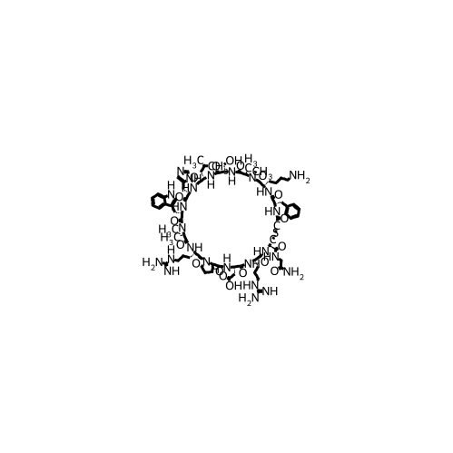 CC(C)C[C@@H]1NC(=O)[C@H](CO)NC(=O)[C@H](C)N(C)C(=O)[C@H](CCCCN)NC(=O)[C@H](Cc2ccccc2)NC(=O)CSC[C@@H](C(=O)NCC(N)=O)NC(=O)[C@H](CCCNC(=N)N)NC(=O)[C@H](CC(=O)O)NC(=O)[C@@H]2CCCN2C(=O)[C@H](CCCNC(=N)N)NC(=O)[C@H](C)N(C)C(=O)[C@H](Cc2c[nH]c3ccccc23)NC(=O)[C@H](Cc2cnc[nH]2)NC1=O